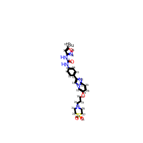 CC(C)(C)c1cc(NC(=O)Nc2ccc(-c3cn4cc(OCCCN5CCS(=O)(=O)CC5)ccc4n3)cc2)no1